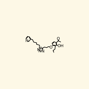 CCCc1c(OCCCc2nnnn2CCCCCc2cccnc2)ccc(C(C)=O)c1O